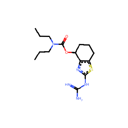 CCCN(CCC)C(=O)OC1CCCc2sc(NC(=N)N)nc21